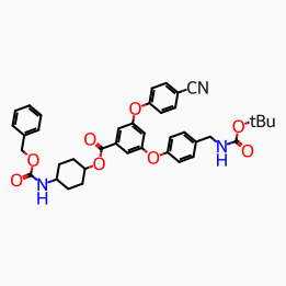 CC(C)(C)OC(=O)NCc1ccc(Oc2cc(Oc3ccc(C#N)cc3)cc(C(=O)OC3CCC(NC(=O)OCc4ccccc4)CC3)c2)cc1